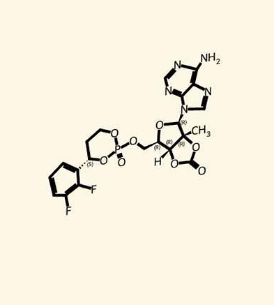 C[C@@]12OC(=O)O[C@@H]1[C@@H](COP1(=O)OCC[C@@H](c3cccc(F)c3F)O1)O[C@H]2n1cnc2c(N)ncnc21